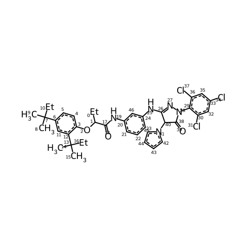 CCC(Oc1ccc(C(C)(C)CC)cc1C(C)(C)CC)C(=O)Nc1cccc(NC2=NN(c3c(Cl)cc(Cl)cc3Cl)C(=O)C2n2cccc2)c1